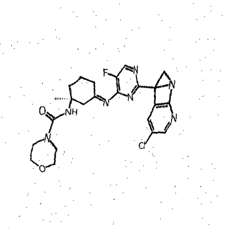 C[C@]1(NC(=O)N2CCOCC2)CCC/C(=N\c2nc(C34CN3c3ncc(Cl)cc34)ncc2F)C1